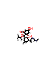 C=C(/C=C\C=C/C)[C@@H]1C=C(C)[C@@H](CC=C(C)C)[C@@H](C(=O)c2c(O)cc(O)cc2O)C1